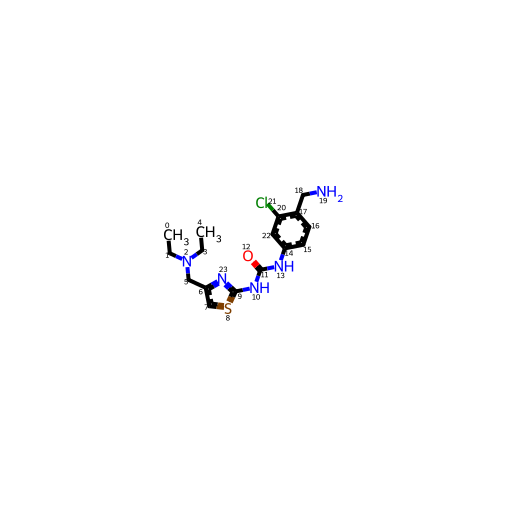 CCN(CC)Cc1csc(NC(=O)Nc2ccc(CN)c(Cl)c2)n1